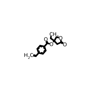 C=Cc1ccc(C(=O)OC2(CC)COC(=O)C2)cc1